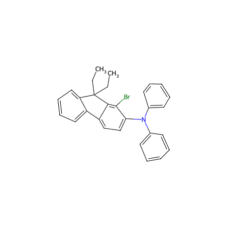 CCC1(CC)c2ccccc2-c2ccc(N(c3ccccc3)c3ccccc3)c(Br)c21